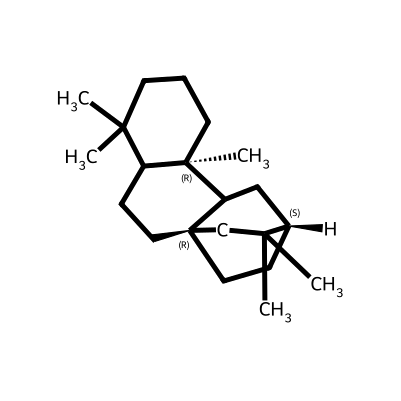 CC1(C)CCC[C@]2(C)C1CC[C@@]13CC[C@@H](CC12)C(C)(C)C3